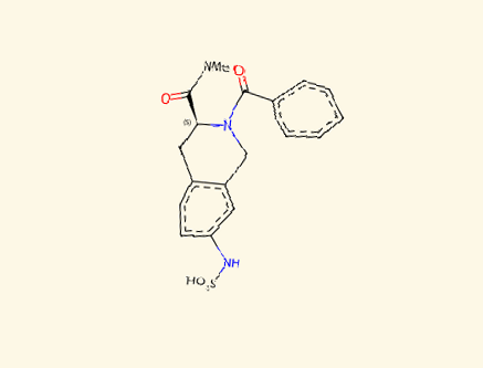 CNC(=O)[C@@H]1Cc2ccc(NS(=O)(=O)O)cc2CN1C(=O)c1ccccc1